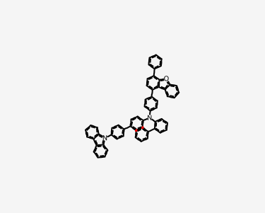 c1ccc(-c2ccccc2N(c2ccc(-c3ccc(-n4c5ccccc5c5ccccc54)cc3)cc2)c2ccc(-c3ccc(-c4ccccc4)c4oc5ccccc5c34)cc2)cc1